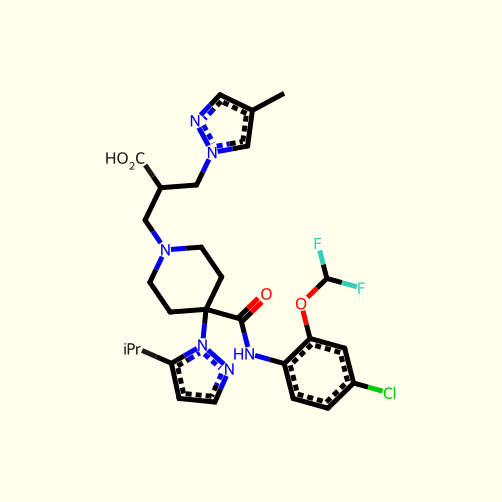 Cc1cnn(CC(CN2CCC(C(=O)Nc3ccc(Cl)cc3OC(F)F)(n3nccc3C(C)C)CC2)C(=O)O)c1